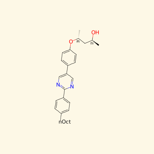 CCCCCCCCc1ccc(-c2ncc(-c3ccc(O[C@H](C)C[C@H](C)O)cc3)cn2)cc1